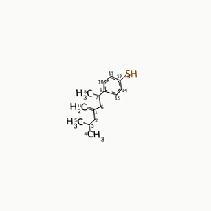 C=C(CC(C)C)CC(C)c1ccc(S)cc1